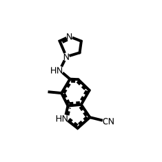 Cc1c(NN2C=NCC2)ccc2c(C#N)c[nH]c12